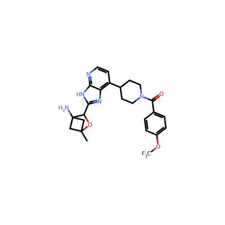 CC12CC(N)(C1)C(c1nc3c(C4CCN(C(=O)c5ccc(OC(F)(F)F)cc5)CC4)ccnc3[nH]1)O2